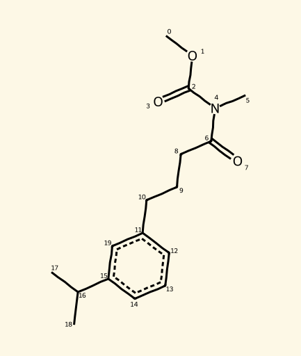 COC(=O)N(C)C(=O)CCCc1cccc(C(C)C)c1